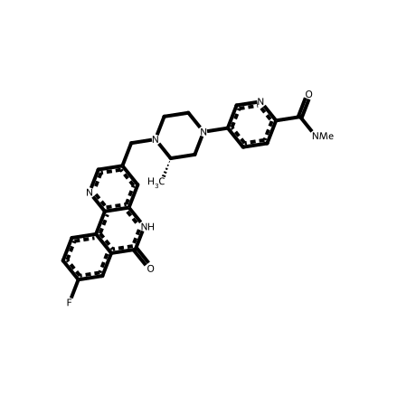 CNC(=O)c1ccc(N2CCN(Cc3cnc4c(c3)[nH]c(=O)c3cc(F)ccc34)[C@@H](C)C2)cn1